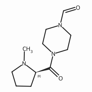 CN1CCC[C@@H]1C(=O)N1CCN(C=O)CC1